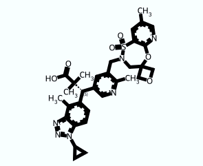 Cc1cnc2c(c1)S(=O)(=O)N(Cc1cc([C@H](c3ccc4c(nnn4C4CC4)c3C)C(C)(C)C(=O)O)cnc1C)CC1(COC1)O2